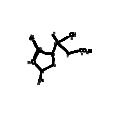 CCC1CC(C(C)(O)CC(=O)O)C(CC)O1